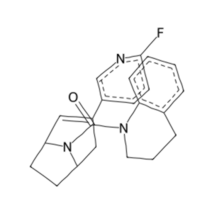 O=C(N1CCCc2ccccc21)N1C2C=C(c3ccc(F)nc3)CC1CC2